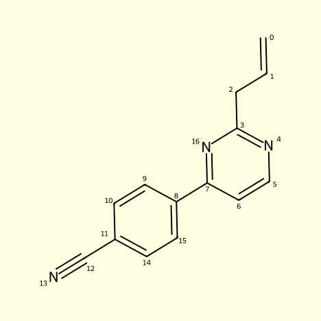 C=CCc1nccc(-c2ccc(C#N)cc2)n1